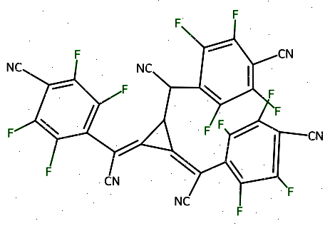 N#C/C(=C1\C(=C(/C#N)c2c(F)c(F)c(C#N)c(F)c2F)C1C(C#N)c1c(F)c(F)c(C#N)c(F)c1F)c1c(F)c(F)c(C#N)c(F)c1F